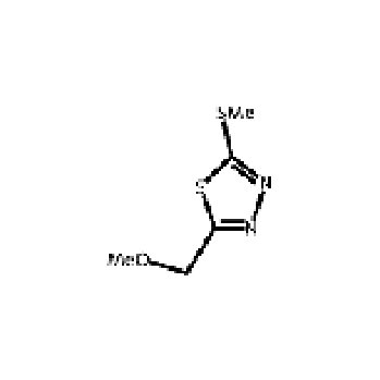 COCc1nnc(SC)s1